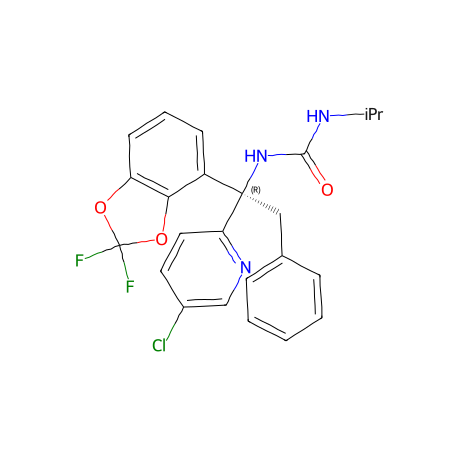 CC(C)NC(=O)N[C@@](Cc1ccccc1)(c1ccc(Cl)cn1)c1cccc2c1OC(F)(F)O2